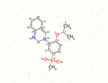 CC(C)Oc1ccc(S(C)(=O)=O)cc1N1C=c2ccccc2=NC1